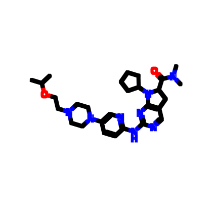 CC(C)OCCN1CCN(c2ccc(Nc3ncc4c(n3)N(C3CCCC3)C(C(=O)N(C)C)C4)nc2)CC1